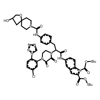 CC(C)(C)OC(=O)c1cc2cc(NC(=O)C(Cc3ccc(NC(=O)N4CCC5(CC4)CC(O)CO5)cc3)N3CCN(c4cc(Cl)ccc4-n4cnnn4)C(=O)C3=O)ccc2n1C(=O)OC(C)(C)C